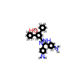 CN(C)c1ccc(-c2nc(-c3cc(-c4ccccc4)c(O)c(-c4ccccc4)c3)[nH]c2-c2ccc(N(C)C)cc2)cc1